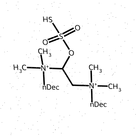 CCCCCCCCCC[N+](C)(C)CC(OS(=O)(=O)S)[N+](C)(C)CCCCCCCCCC